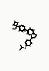 CC(C)OC1=CC=C(c2cnc3ccc(-c4ccc(C5(O)CCC5)cc4)cn23)CC1